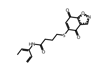 C=C/C(=C\C)NC(=O)CCCSC1=CC(=O)c2oncc2C1=O